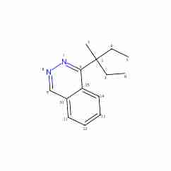 CCC(C)(CC)c1nncc2ccccc12